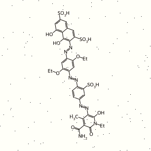 CCOc1cc(/N=N/c2c(S(=O)(=O)O)cc3cc(S(=O)(=O)O)cc(O)c3c2O)c(OCC)cc1/N=N/c1ccc(/N=N/c2c(C)c(C(N)=O)c(=O)n(CC)c2O)cc1S(=O)(=O)O